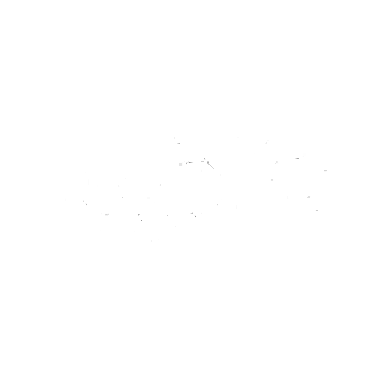 COc1nc2[nH]cc(C(=O)C(=O)N(C)C)c2cc1C(=O)N1CCC(Cc2ccc(F)cc2)CC1